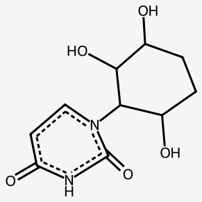 O=c1ccn(C2C(O)CCC(O)C2O)c(=O)[nH]1